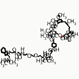 CNN(C)Cc1cc2ccccc2n1CCC(=O)NCC(=O)NCCOCCOCCC(=O)NC(C(=O)NCC(=O)Nc1ccc(COC(=O)N(C)[C@@H](C)C(=O)O[C@H]2CC(=O)N(C)c3cc(cc(OC)c3Cl)C/C(C)=C/C=C/[C@@H](OC)[C@@]3(O)C[C@H](OC(=O)N3)[C@@H](C)C[C@@H]2C)cc1)C(C)C